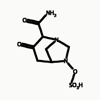 NC(=O)C1C(=O)CC2CN1CN2OS(=O)(=O)O